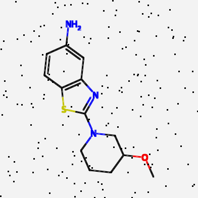 COC1CCCN(c2nc3cc(N)ccc3s2)C1